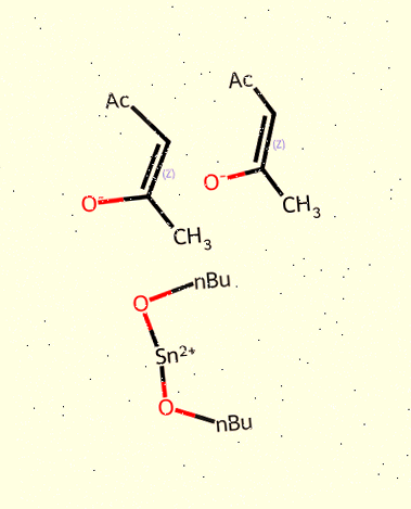 CC(=O)/C=C(/C)[O-].CC(=O)/C=C(/C)[O-].CCCC[O][Sn+2][O]CCCC